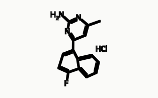 Cc1cc(-c2ccc(F)c3ccccc23)nc(N)n1.Cl